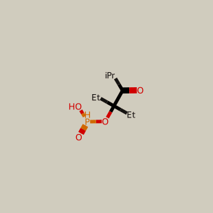 CCC(CC)(O[PH](=O)O)C(=O)C(C)C